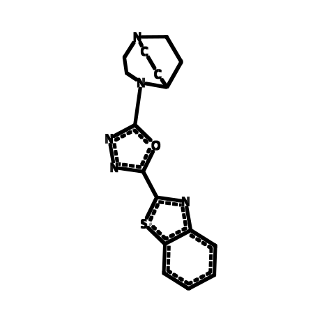 c1ccc2sc(-c3nnc(N4CCN5CCC4CC5)o3)nc2c1